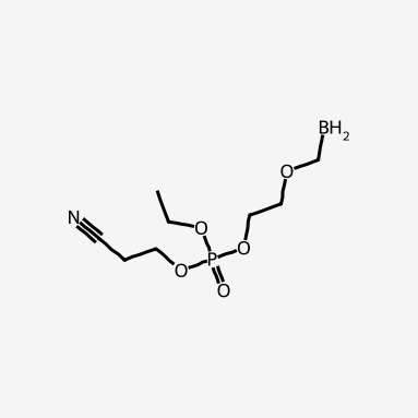 BCOCCOP(=O)(OCC)OCCC#N